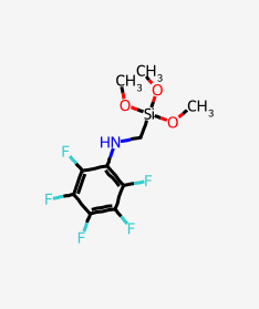 CO[Si](CNc1c(F)c(F)c(F)c(F)c1F)(OC)OC